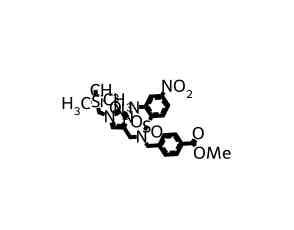 COC(=O)c1ccc(CN(Cc2cn(C[Si](C)(C)C)nn2)S(=O)(=O)c2ccc([N+](=O)[O-])cc2[N+](=O)[O-])cc1